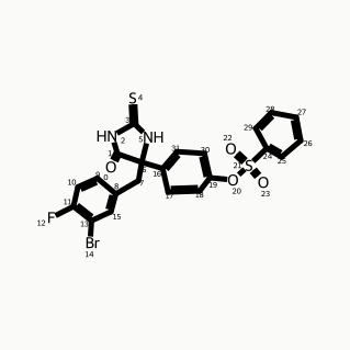 O=C1NC(=S)NC1(Cc1ccc(F)c(Br)c1)c1ccc(OS(=O)(=O)c2ccccc2)cc1